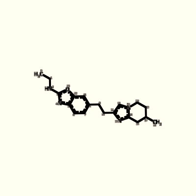 CCNc1nc2ccc(CCc3cn4c(n3)CC(C)CC4)cc2o1